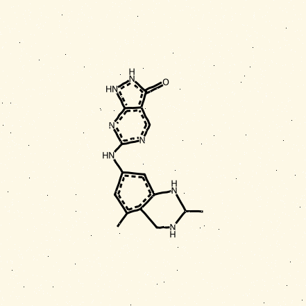 Cc1cc(Nc2ncc3c(=O)[nH][nH]c3n2)cc2c1CNC(C)N2